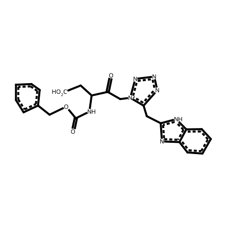 O=C(O)CC(NC(=O)OCc1ccccc1)C(=O)Cn1nnnc1Cc1nc2ccccc2[nH]1